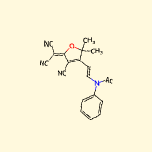 CC(=O)N(C=CC1=C(C#N)C(=C(C#N)C#N)OC1(C)C)c1ccccc1